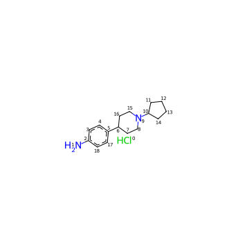 Cl.Nc1ccc(C2CCN(C3CCCC3)CC2)cc1